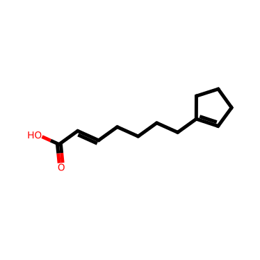 O=C(O)/C=C/CCCCC1=CCCC1